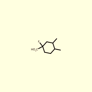 CC1CCC(F)(C(=O)O)CC1C